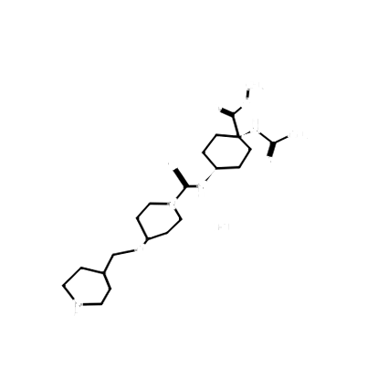 COC(=O)[C@]1(NC(C)=O)CC[C@@H](NC(=O)N2CCC(OCC3CCNCC3)CC2)CC1.Cl